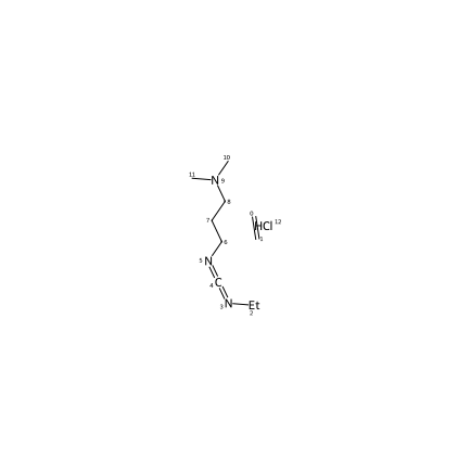 C=C.CCN=C=NCCCN(C)C.Cl